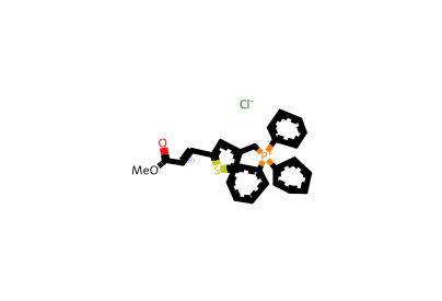 COC(=O)/C=C/c1cc(C[P+](c2ccccc2)(c2ccccc2)c2ccccc2)cs1.[Cl-]